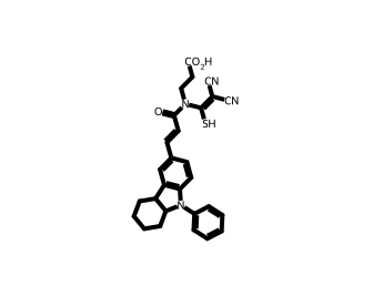 N#CC(C#N)=C(S)N(CCC(=O)O)C(=O)/C=C/c1ccc2c(c1)C1CCCCC1N2c1ccccc1